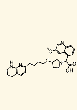 COc1cnc2cccc(C(C(=O)O)N3CCC(OCCCCc4ccc5c(n4)NCCC5)C3)c2c1